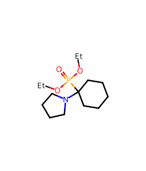 CCOP(=O)(OCC)C1(N2CCCC2)CCCCC1